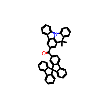 CC1(C)c2ccccc2-n2c3ccccc3c3cc(C(=O)c4ccc5c(c4)C4(c6ccccc6-c6ccccc64)c4ccccc4-5)cc1c32